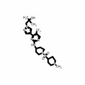 CN1CCC(S(=O)(=O)N2CCC(Nc3ncc(C(F)(F)F)c(-c4cnn(CC(C)(C)O)c4)n3)CC2)CC1